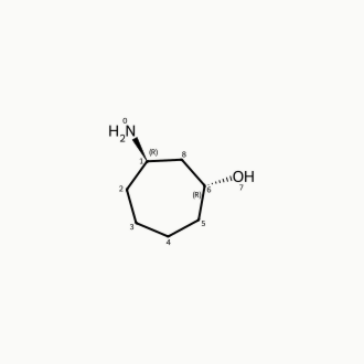 N[C@@H]1CCCC[C@@H](O)C1